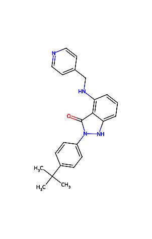 CC(C)(C)c1ccc(-n2[nH]c3cccc(NCc4ccncc4)c3c2=O)cc1